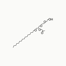 CCCCCCCCCCCCCCCCOCC(COCCOCCO)OCC(C)=O